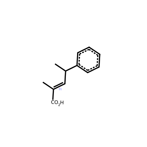 C/C(=C\C(C)c1ccccc1)C(=O)O